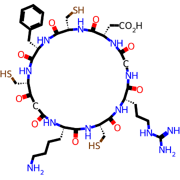 N=C(N)NCCC[C@@H]1NC(=O)[C@H](CS)NC(=O)[C@H](CCCCN)NC(=O)CC(=O)[C@H](CS)NC(=O)[C@H](Cc2ccccc2)NC(=O)[C@H](CS)NC(=O)[C@H](CC(=O)O)NC(=O)CNC1=O